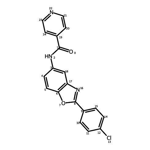 O=C(Nc1ccc2oc(-c3ccc(Cl)cc3)nc2c1)c1ccncc1